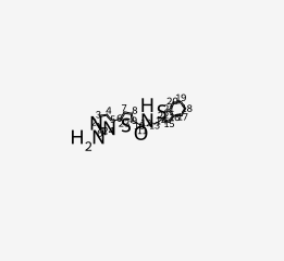 Nc1nccc(-c2ccc(C(=O)NCc3cc4ccccc4s3)s2)n1